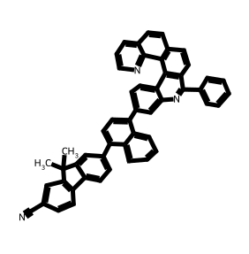 CC1(C)c2cc(C#N)ccc2-c2ccc(-c3ccc(-c4ccc5c(c4)nc(-c4ccccc4)c4ccc6ccc7cccnc7c6c45)c4ccccc34)cc21